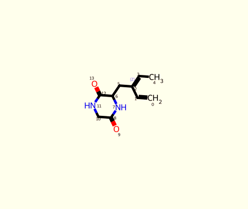 C=C/C(=C\C)CC1NC(=O)CNC1=O